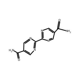 NC(=O)c1cnc(-c2ncc(C(N)=O)cn2)nc1